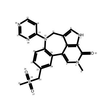 Cn1cc2c3c(c[nH]c3c1=O)CN(c1ccncn1)c1ccc(CS(C)(=O)=O)cc1-2